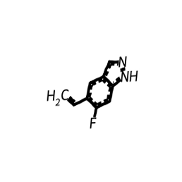 C=Cc1cc2cn[nH]c2cc1F